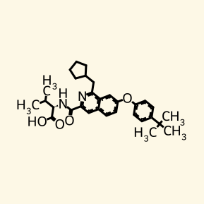 CC(C)[C@H](NC(=O)c1cc2ccc(Oc3ccc(C(C)(C)C)cc3)cc2c(CC2CCCC2)n1)C(=O)O